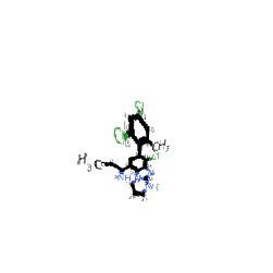 CCC(N)c1cc(-c2c(C)cc(Cl)cc2Cl)c(Cl)c2nc3n(c12)CCCN3